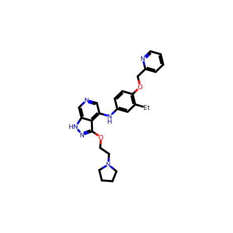 CCc1cc(Nc2cncc3[nH]nc(OCCN4CCCC4)c23)ccc1OCc1ccccn1